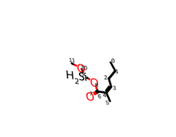 CCCC=C(C)C(=O)O[SiH2]OC